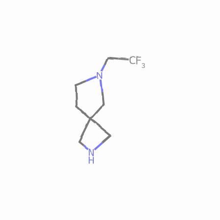 FC(F)(F)CN1CCC2(CNC2)C1